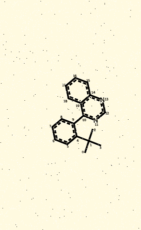 CC(C)(C)c1ccccc1-c1ncnc2ccccc12